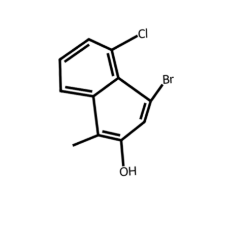 Cc1c(O)cc(Br)c2c(Cl)cccc12